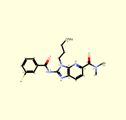 COCCCn1c(NC(=O)c2cccc(F)c2)nc2ccc(C(=O)N(C)C(C)C)nc21